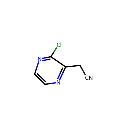 N#CCc1nccnc1Cl